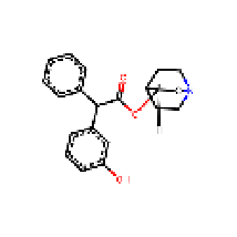 O=C(O[C@H]1CN2CCC1CC2)C(c1ccccc1)c1cccc(O)c1